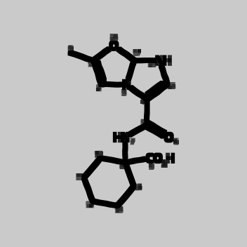 CC1=CN2C(C(=O)NC3(C(=O)O)CCCCC3)=CNC2O1